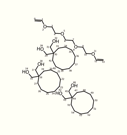 C=COCCOCCOCCOC=C.OCC1(CO)CCCCCCCCC1.OCC1(CO)CCCCCCCCC1.OCC1(CO)CCCCCCCCC1